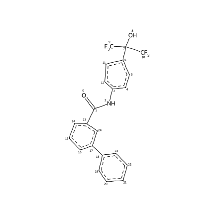 O=C(Nc1ccc(C(O)(C(F)(F)F)C(F)(F)F)cc1)c1cccc(-c2ccccc2)c1